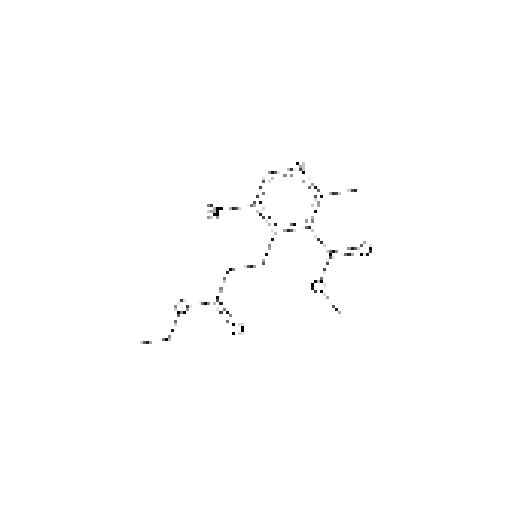 CCOC(=O)CCc1c(Br)cnc(C)c1C(=O)OC